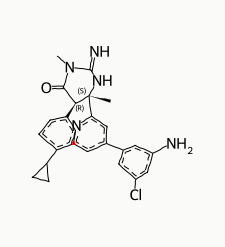 CN1C(=N)N[C@](C)(c2cc(-c3cc(N)cc(Cl)c3)ccn2)[C@@H](c2ccc(C3CC3)cc2)C1=O